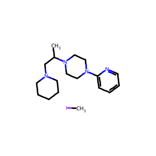 CC(CN1CCCCC1)N1CCN(c2ccccn2)CC1.CI